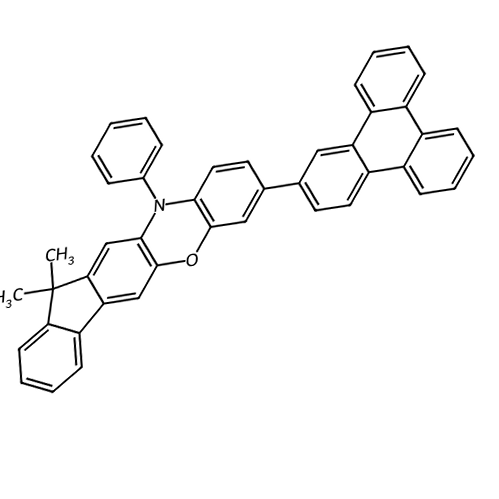 CC1(C)c2ccccc2-c2cc3c(cc21)N(c1ccccc1)c1ccc(-c2ccc4c5ccccc5c5ccccc5c4c2)cc1O3